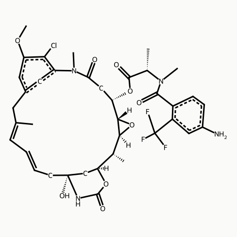 COc1cc2cc(c1Cl)N(C)C(=O)C[C@H](OC(=O)[C@H](C)N(C)C(=O)c1ccc(N)cc1C(F)(F)F)[C@@H]1O[C@H]1[C@H](C)[C@@H]1C[C@](O)(C/C=C/C=C(\C)C2)NC(=O)O1